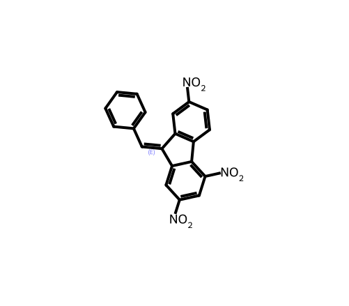 O=[N+]([O-])c1ccc2c(c1)/C(=C\c1ccccc1)c1cc([N+](=O)[O-])cc([N+](=O)[O-])c1-2